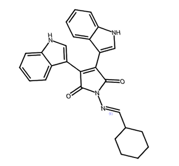 O=C1C(c2c[nH]c3ccccc23)=C(c2c[nH]c3ccccc23)C(=O)N1/N=C/C1CCCCC1